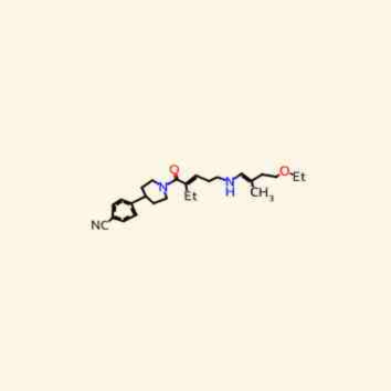 CCOCC/C(C)=C/NCC/C=C(\CC)C(=O)N1CCC(c2ccc(C#N)cc2)CC1